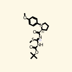 COc1ccc(N2CCC[C@H]2C(=O)/N=C(/NC(=O)OC(C)(C)C)SC)cc1